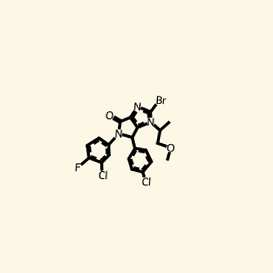 COCC(C)n1c(Br)nc2c1C(c1ccc(Cl)cc1)N(c1ccc(F)c(Cl)c1)C2=O